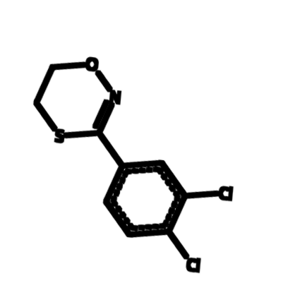 Clc1ccc(C2=NOCCS2)cc1Cl